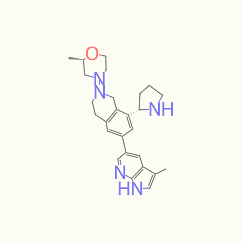 Cc1c[nH]c2ncc(-c3cc4c(c([C@@H]5CCCN5)c3)CN(N3CCO[C@H](C)C3)CC4)cc12